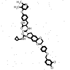 Cc1nccc(Oc2ccc(CC(NC(=O)[C@@H]3Cc4cc5c(cc4CN3C(=O)NC3CCC3)O[C@@H](c3ccc(OCc4ccc(Cl)c(Cl)c4)cc3)CO5)C(=O)O)cc2)c1C